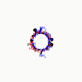 CC(C)C[C@@H]1NC(=O)[C@@H]2CCCN2C(=O)C2CCCN2C(=O)[C@H](Cc2c[nH]c3ccccc23)NC(=O)[C@H](CCCCN)NC(=O)[C@H](C(C)C)NC(=O)[C@H](C(C)C)NC(=O)[C@H](Cc2ccccc2)NC(=O)[C@H](Cc2ccccc2)NC(=O)[C@H](C(C)C)NC(=O)[C@H](C(C)C)NC(=O)[C@H](CCCCN)NC(=O)[C@H](C(C)C)NC(=O)[C@H](CO)NC1=O